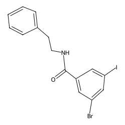 O=C(NCCc1ccccc1)c1cc(Br)cc(I)c1